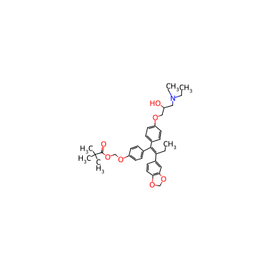 CCC(=C(c1ccc(OCOC(=O)C(C)(C)C)cc1)c1ccc(OCC(O)CN(CC)CC)cc1)c1ccc2c(c1)OCO2